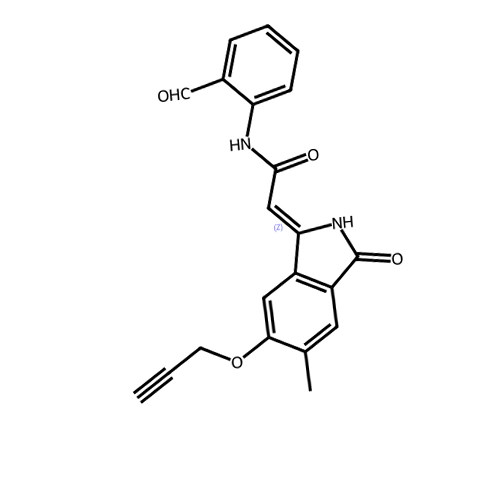 C#CCOc1cc2c(cc1C)C(=O)N/C2=C\C(=O)Nc1ccccc1C=O